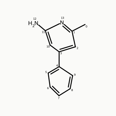 Cc1cc(-c2ccccc2)cc(N)n1